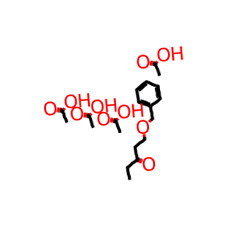 CC(=O)O.CC(=O)O.CC(=O)O.CC(=O)O.CCC(=O)CCOCc1ccccc1